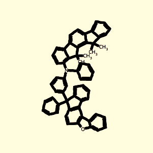 CC1(C)c2ccccc2-c2ccc3c(c21)C(C)(C)c1c-3cccc1N(c1ccccc1)c1cccc(C2(c3ccccc3)c3ccccc3-c3c2ccc2oc4ccccc4c32)c1